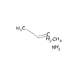 C.C=CC.N